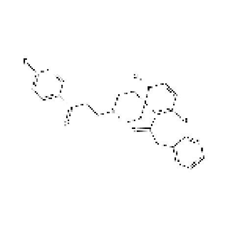 O=C1Cc2ccccc2OC2=C1C1(CCN(CCC(=O)c3ccc(F)cc3)CC1)C(Cl)C=C2